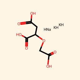 O=C(O)COC(CC(=O)O)C(=O)O.[KH].[KH].[NaH]